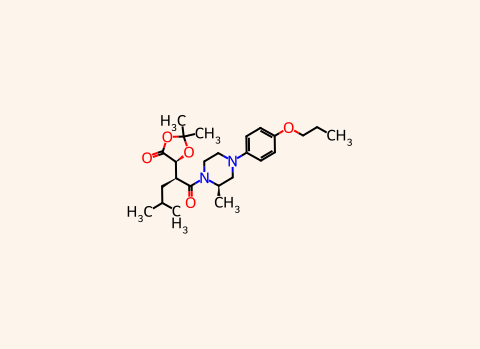 CCCOc1ccc(N2CCN(C(=O)[C@@H](CC(C)C)[C@@H]3OC(C)(C)OC3=O)[C@H](C)C2)cc1